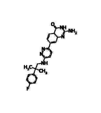 CC(C)(CNc1ccc(C2=CC3N=C(N)NC(=O)C3C=C2)nn1)c1ccc(F)cc1